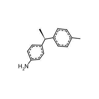 Cc1ccc([C@H](C)c2ccc(N)cc2)cc1